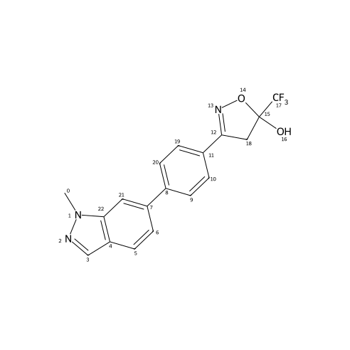 Cn1ncc2ccc(-c3ccc(C4=NOC(O)(C(F)(F)F)C4)cc3)cc21